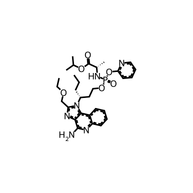 CCC[C@H](CCOP(=O)(N[C@@H](C)C(=O)OC(C)C)Oc1ccccn1)n1c(COCC)nc2c(N)nc3ccccc3c21